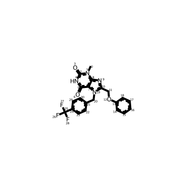 Cn1c(=O)[nH]c(=O)c2c1nc(COc1ccccc1)n2Cc1ccc(C(F)(F)F)cc1